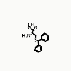 COC(=O)[C@@H](N)CSC(c1ccccc1)c1ccccc1